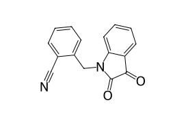 N#Cc1ccccc1CN1C(=O)C(=O)c2ccccc21